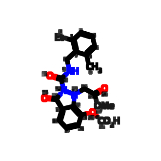 CCc1cccc(C)c1CNC(=O)n1c(=O)c2cccc(OC(=O)O)c2n1CC(=O)OC